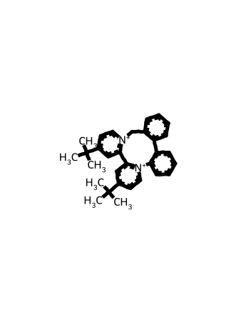 CC(C)(C)c1cc[n+]2c(c1)-c1cc(C(C)(C)C)cc[n+]1-c1ccccc1-c1ccccc1C2